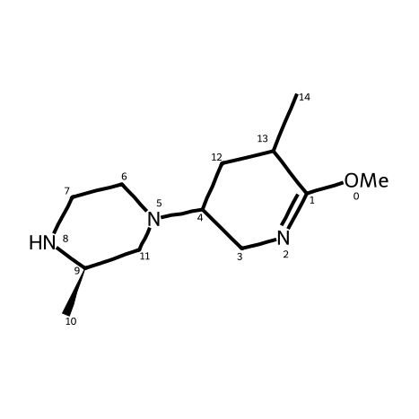 COC1=NCC(N2CCN[C@H](C)C2)CC1C